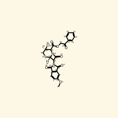 COc1ccc2c(c1)C(=O)N(C1C(=O)N3C(C(=O)OCC(=O)c4ccccc4)[C@](C)(Cl)CS[C@@H]13)C2=O